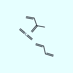 C=C=C.C=CC(=C)C.C=CC=C